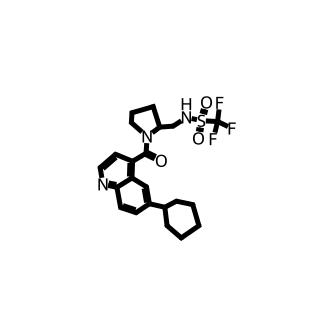 O=C(c1ccnc2ccc(C3CCCCC3)cc12)N1CCCC1CNS(=O)(=O)C(F)(F)F